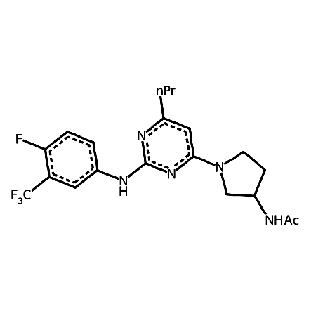 CCCc1cc(N2CCC(NC(C)=O)C2)nc(Nc2ccc(F)c(C(F)(F)F)c2)n1